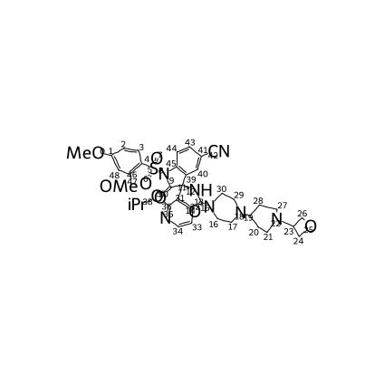 COc1ccc(S(=O)(=O)N2C(=O)[C@@](NC(=O)N3CCN(C4CCN(C5COC5)CC4)CC3)(c3cccnc3OC(C)C)c3cc(C#N)ccc32)c(OC)c1